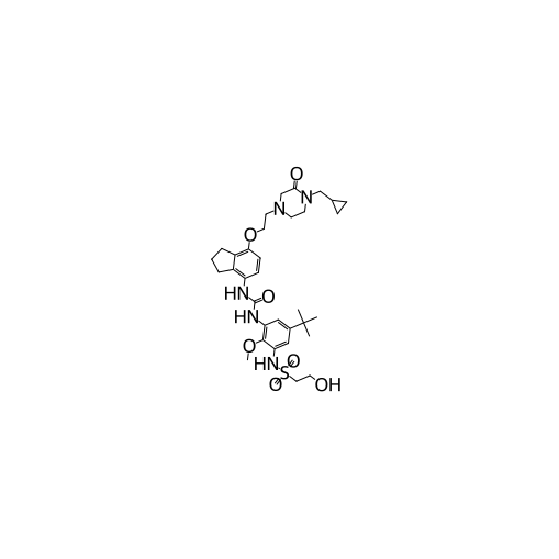 COc1c(NC(=O)Nc2ccc(OCCN3CCN(CC4CC4)C(=O)C3)c3c2CCC3)cc(C(C)(C)C)cc1NS(=O)(=O)CCO